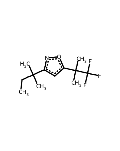 CCC(C)(C)c1cc(C(C)(C)C(F)(F)F)on1